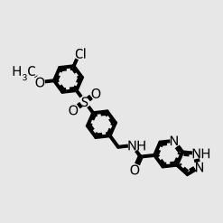 COc1cc(Cl)cc(S(=O)(=O)c2ccc(CNC(=O)c3cnc4[nH]ncc4c3)cc2)c1